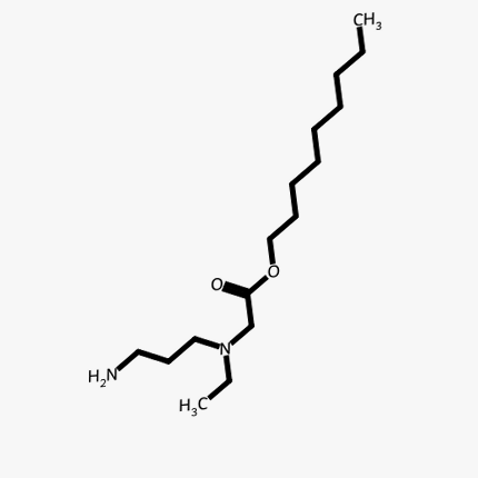 CCCCCCCCCOC(=O)CN(CC)CCCN